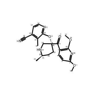 COc1ccc(C(=O)[C@@]2(Oc3nccc(C#N)c3C)CC[C@@H](C)NC2)c(OC)n1